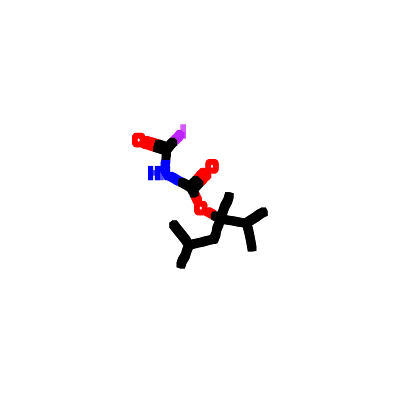 CC(C)CC(C)(OC(=O)NC(=O)I)C(C)C